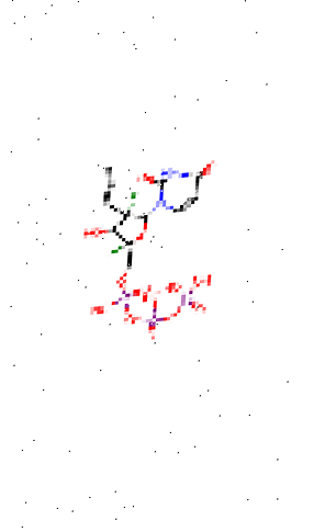 C=C=C[C@@]1(F)C(O)[C@@](F)(COP(=O)(O)OP(=O)(O)OP(=O)(O)O)O[C@H]1n1ccc(=O)[nH]c1=O